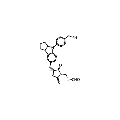 O=COCN1C(=O)/C(=C\c2ccc3c(c2)C2CCCC2N3c2ccc(CS)cc2)SC1=S